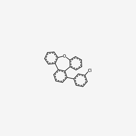 Clc1cccc(-c2cccc3c2-c2ccccc2Oc2ccccc2-3)c1